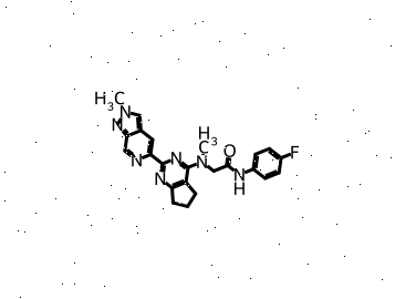 CN(CC(=O)Nc1ccc(F)cc1)c1nc(-c2cc3cn(C)nc3cn2)nc2c1CCC2